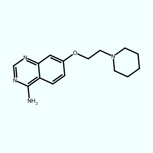 Nc1ncnc2cc(OCCN3CCCCC3)ccc12